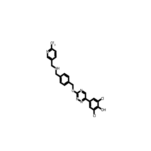 Oc1c(Cl)cc(-c2cnc(OCc3ccc(CNCc4ccc(C(F)(F)F)nc4)cc3)nn2)cc1Cl